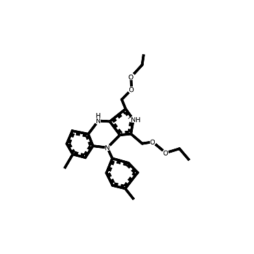 CCOOCc1[nH]c(COOCC)c2c1Nc1ccc(C)cc1N2c1ccc(C)cc1